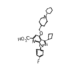 O=C(O)c1cc(OCC2CCN(C3CCCCC3)CC2)c2c(C3CCC3)nn(-c3ccc(F)cc3)c2n1